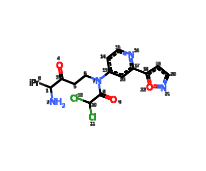 CC(C)C(N)C(=O)CCN(C(=O)C(Cl)Cl)c1ccnc(-c2ccno2)c1